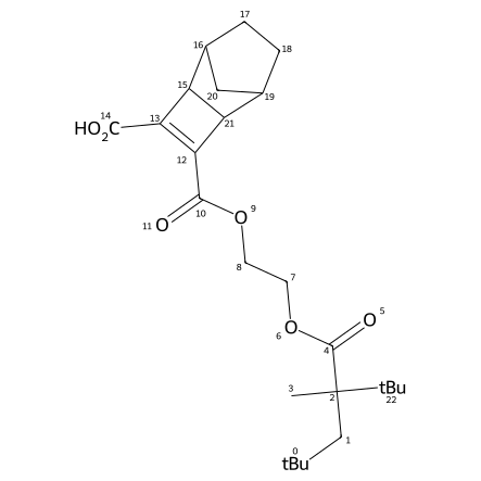 CC(C)(C)CC(C)(C(=O)OCCOC(=O)C1=C(C(=O)O)C2C3CCC(C3)C12)C(C)(C)C